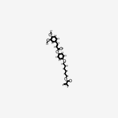 C=C(C)C(=O)OCCCCCCOc1ccc(OC(=O)C=Cc2ccc(OC)c(OC)c2)cc1